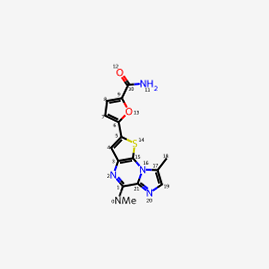 CNc1nc2cc(-c3ccc(C(N)=O)o3)sc2n2c(C)cnc12